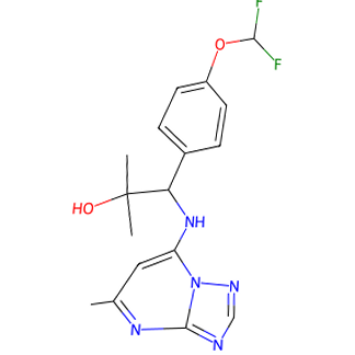 Cc1cc(NC(c2ccc(OC(F)F)cc2)C(C)(C)O)n2ncnc2n1